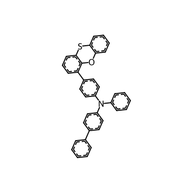 c1ccc(-c2ccc(N(c3ccccc3)c3ccc(-c4cccc5c4Oc4ccccc4S5)cc3)cc2)cc1